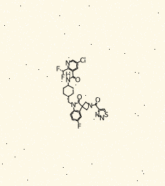 O=C(NC1CCC(CN2C(=O)C3(CN(C(=O)c4csnn4)C3)c3cc(F)ccc32)CC1)c1cc(Cl)cnc1C(F)F